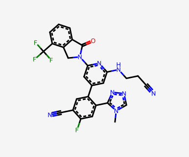 Cn1cnnc1-c1cc(F)c(C#N)cc1-c1cc(NCCC#N)nc(N2Cc3c(cccc3C(F)(F)F)C2=O)c1